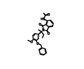 CCC(C)(c1ccc(OC)c(OCc2ccccc2)c1)N1C(=O)c2cccc(NC(C)=O)c2C1=O